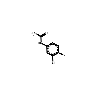 NC(=O)Nc1ccc(F)c(Cl)c1